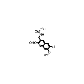 CC(C)Oc1cc2nc(C=O)c(CN[S@+]([O-])C(C)(C)C)cc2cc1Cl